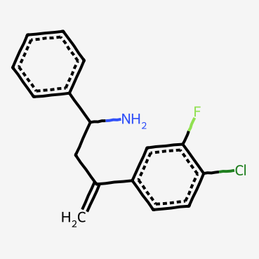 C=C(CC(N)c1ccccc1)c1ccc(Cl)c(F)c1